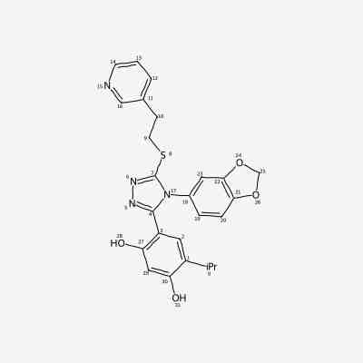 CC(C)c1cc(-c2nnc(SCCc3cccnc3)n2-c2ccc3c(c2)OCO3)c(O)cc1O